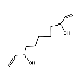 C=CC(O)CCCCCC(O)C=C